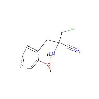 COc1ccccc1CC(N)(C#N)CF